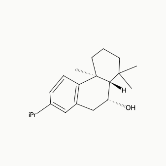 CC(C)c1ccc2c(c1)C[C@@H](O)[C@H]1C(C)(C)CCC[C@]21C